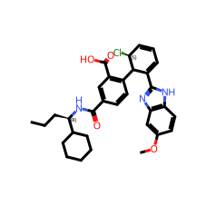 CCC[C@@H](NC(=O)c1ccc(C2C(c3nc4cc(OC)ccc4[nH]3)=CC=C[C@@H]2Cl)c(C(=O)O)c1)C1CCCCC1